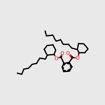 CCCCCCCCC1CCCCC1OC(=O)c1ccccc1C(=O)OC1CCCCC1CCCCCCCC